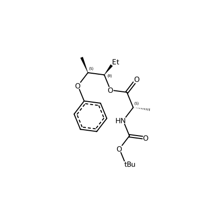 CC[C@@H](OC(=O)[C@H](C)NC(=O)OC(C)(C)C)[C@H](C)Oc1ccccc1